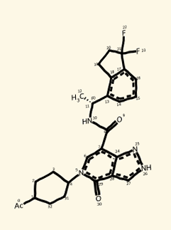 CC(=O)C1CCC(n2cc(C(=O)N[C@H](C)c3cccc4c3CCC4(F)F)c3n[nH]cc3c2=O)CC1